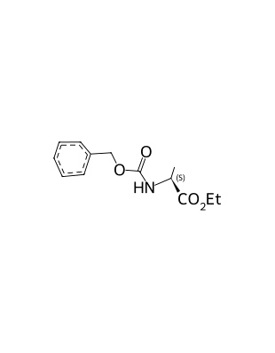 CCOC(=O)[C@H](C)NC(=O)OCc1ccccc1